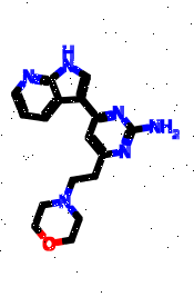 Nc1nc(CCN2CCOCC2)cc(-c2c[nH]c3ncccc23)n1